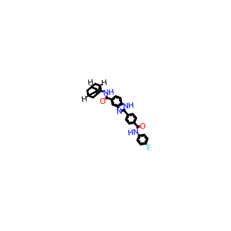 O=C(Nc1ccc(F)cc1)c1ccc(-c2nc3cc(C(=O)NC4C5C[C@H]6C[C@@H](C5)C[C@@H]4C6)ccc3[nH]2)cc1